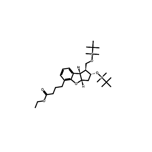 CCOC(=O)CCCc1cccc2c1O[C@H]1C[C@@H](O[Si](C)(C)C(C)(C)C)[C@H](CO[Si](C)(C)C(C)(C)C)[C@@H]21